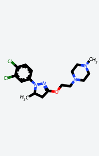 CC1CC(OCCN2CCN(C)CC2)=NN1c1ccc(Cl)c(Cl)c1